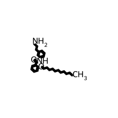 CCCCCCCCCCCCOc1ccccc1C(=O)Nc1cccc(CCCN)c1